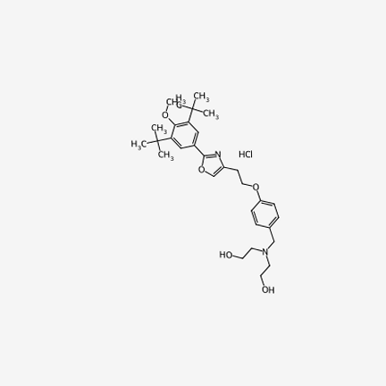 COc1c(C(C)(C)C)cc(-c2nc(CCOc3ccc(CN(CCO)CCO)cc3)co2)cc1C(C)(C)C.Cl